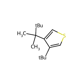 CC(C)(C)c1cscc1C(C)(C)C(C)(C)C